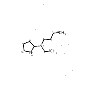 CCCCN(CC)C1CCC[N]1